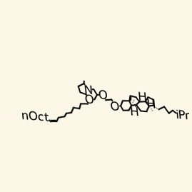 CCCCCCCC/C=C\CCCCCCCCOCC(CN1CCCC1C)OCCO[C@H]1CC[C@@]2(C)C(=CC[C@H]3[C@@H]4CC[C@H](CCCCC(C)C)[C@@]4(C)CC[C@@H]32)C1